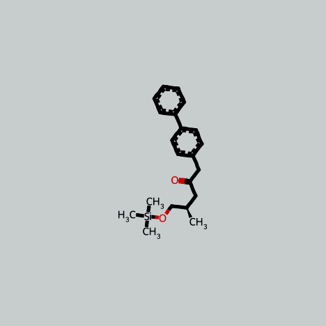 C[C@@H](CO[Si](C)(C)C)CC(=O)Cc1ccc(-c2ccccc2)cc1